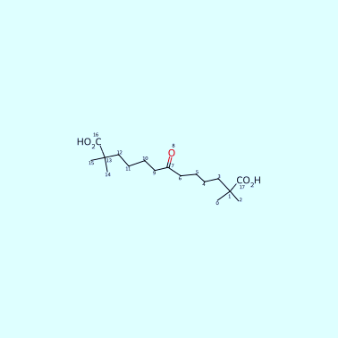 CC(C)(CCCCC(=O)CCCCC(C)(C)C(=O)O)C(=O)O